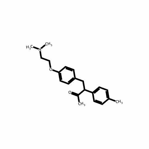 CC(=O)C(Cc1ccc(OCCN(C)C)cc1)c1ccc(C)cc1